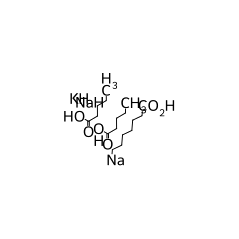 CCCCC(=O)O.CCCCC(=O)O.O=C(O)CCCCC[CH2][Na].[KH].[NaH]